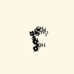 CC(C)(C)OC(=O)N1CCCC1COc1ccc([C@@H](O)c2ccccc2)cn1